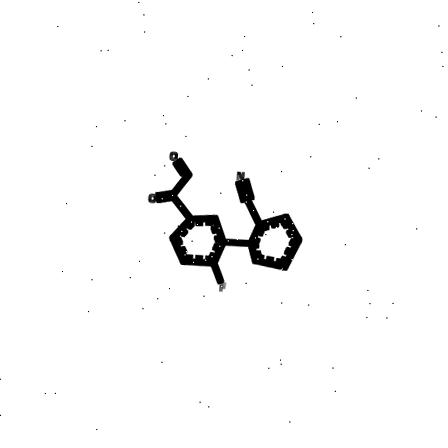 N#Cc1ccccc1-c1cc(C(=O)C=O)ccc1F